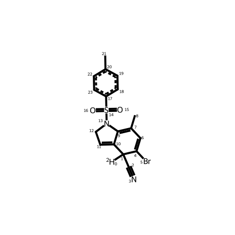 [2H]C1(C#N)C(Br)=CC(C)=C2C1=CCN2S(=O)(=O)c1ccc(C)cc1